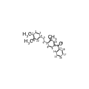 Cc1ccc(CCc2ccc(C(=O)c3ccccc3)cc2C)cc1C